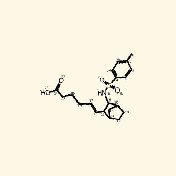 Cc1ccc(S(=O)(=O)NC2C3CCC(C3)C2C=CCCCC(=O)O)cc1